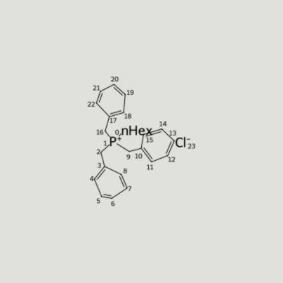 CCCCCC[P+](Cc1ccccc1)(Cc1ccccc1)Cc1ccccc1.[Cl-]